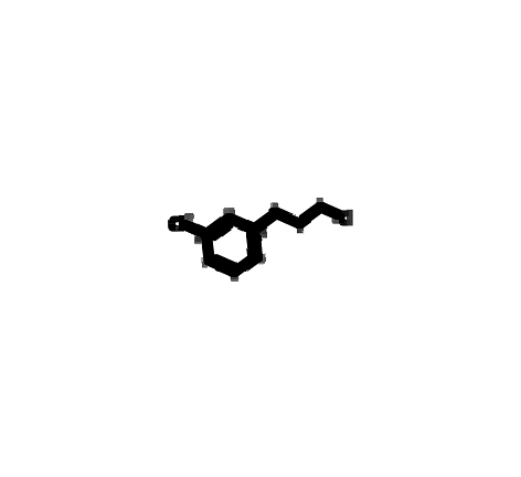 ClCCCc1cccc(Cl)c1